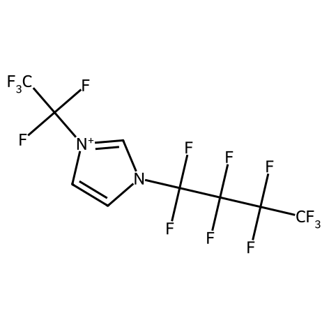 FC(F)(F)C(F)(F)[n+]1ccn(C(F)(F)C(F)(F)C(F)(F)C(F)(F)F)c1